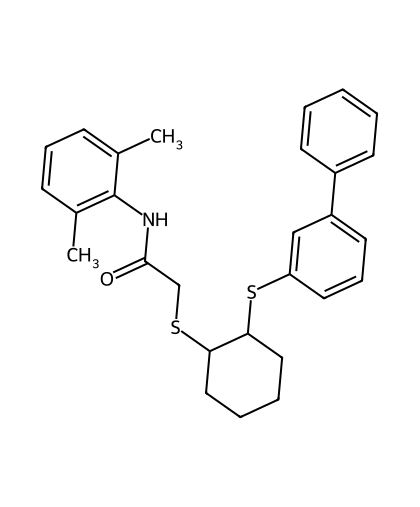 Cc1cccc(C)c1NC(=O)CSC1CCCCC1Sc1cccc(-c2ccccc2)c1